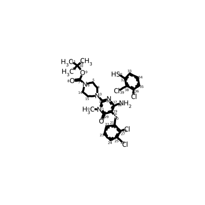 Cn1c(N2CCN(C(=O)OC(C)(C)C)CC2)nc(N)c(Sc2cccc(Cl)c2Cl)c1=O.Sc1cccc(Cl)c1Cl